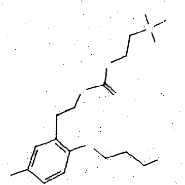 CCCCOc1ccc(Br)cc1CCNC(=O)OCC[Si](C)(C)C